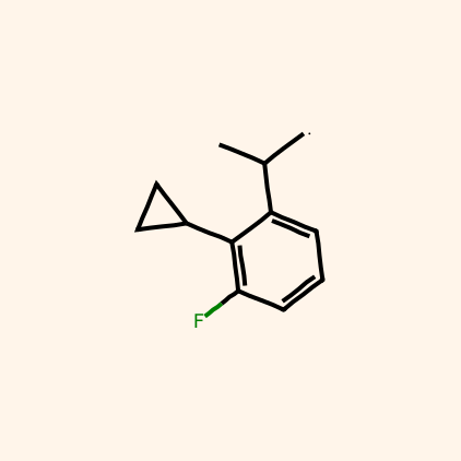 [CH2]C(C)c1cccc(F)c1C1CC1